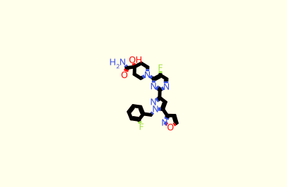 NC(=O)C1(O)CCN(c2nc(-c3cc(-c4ccon4)n(Cc4ccccc4F)n3)ncc2F)CC1